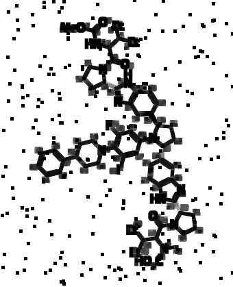 CCC(CC)C(NC(=O)OC)C(=O)N1CCC[C@H]1c1nc2cc([C@H]3CC[C@H](c4ccc5[nH]c([C@@H]6CCCN6C(=O)C(C(CC)CC)N(C)C(=O)O)nc5c4)N3c3cc(F)c(N4CCC(c5ccccc5)CC4)c(F)c3)ccc2[nH]1